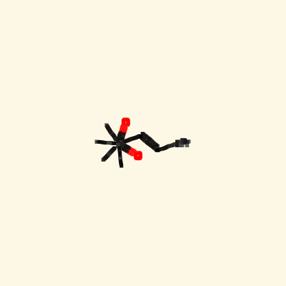 CCCC=[CH][Ti]([CH3])([CH3])([CH3])([CH3])(=[O])=[O]